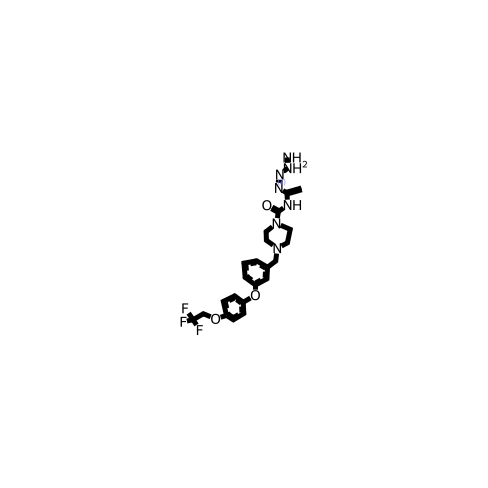 C=C(/N=N\NN)NC(=O)N1CCN(Cc2cccc(Oc3ccc(OCC(F)(F)F)cc3)c2)CC1